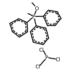 COP(C)(c1ccccc1)(c1ccccc1)c1ccccc1.ClP(Cl)Cl